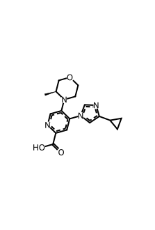 C[C@H]1COCCN1c1cnc(C(=O)O)cc1-n1cnc(C2CC2)c1